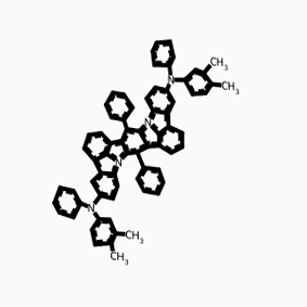 Cc1ccc(N(c2ccccc2)c2ccc3c(c2)c2cccc4c5c(-c6ccccc6)c6c(c(-c7ccccc7)c5n3c24)c2cccc3c4cc(N(c5ccccc5)c5ccc(C)c(C)c5)ccc4n6c32)cc1C